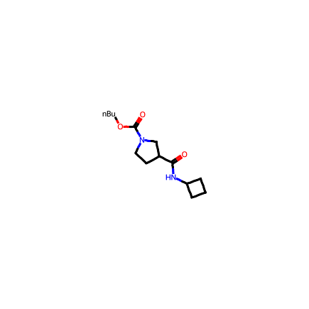 CCCCOC(=O)N1CCC(C(=O)NC2CCC2)C1